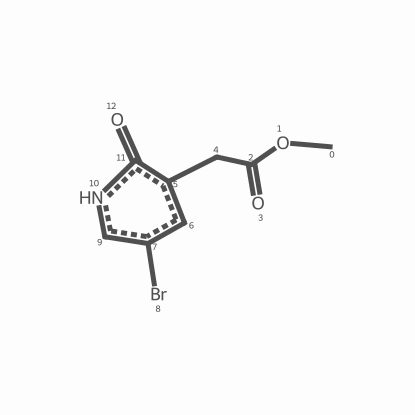 COC(=O)Cc1cc(Br)c[nH]c1=O